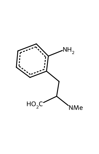 CNC(Cc1ccccc1N)C(=O)O